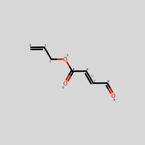 C=CCOC(=O)/C=C/C=O